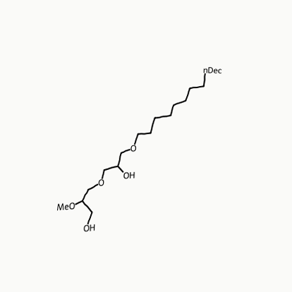 CCCCCCCCCCCCCCCCCCOCC(O)COCC(CO)OC